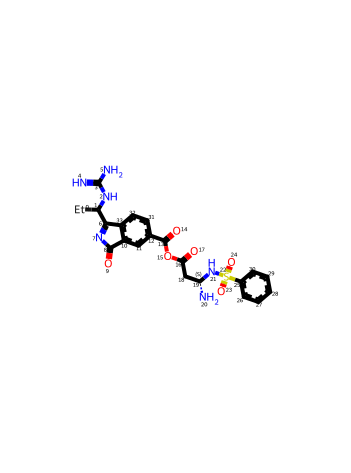 CCC(NC(=N)N)C1=NC(=O)c2cc(C(=O)OC(=O)C[C@@H](N)NS(=O)(=O)c3ccccc3)ccc21